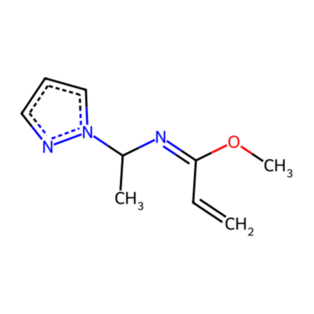 C=C/C(=N\C(C)n1cccn1)OC